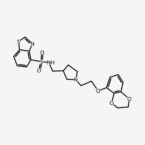 O=S(=O)(NCC1CCN(CCOc2cccc3c2OCCO3)C1)c1cccc2scnc12